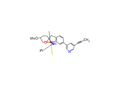 CC#Cc1cncc(-c2ccc3c(c2)C2(NC(=S)N(C(C)C)C2=O)C2(CCC(OC)CC2)C3)c1